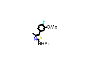 COc1cc(-c2sc(NC(C)=O)nc2C)ccc1F